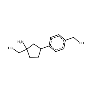 NC1(CO)CCC(c2ccc(CO)cc2)C1